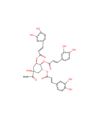 CNC(=O)[C@]1(O)C[C@@H](OC(=O)/C=C/c2ccc(O)c(O)c2)[C@@H](OC(=O)/C=C/c2ccc(O)c(O)c2)[C@H](OC(=O)/C=C/c2ccc(O)c(O)c2)C1